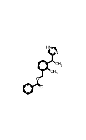 Cc1c(COC(=O)c2ccccc2)cccc1[C@H](C)c1c[nH]cn1